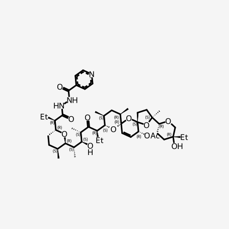 CC[C@@H](C(=O)[C@@H](C)[C@@H](O)[C@H](C)[C@@H]1O[C@@H]([C@@H](CC)C(=O)NNC(=O)c2ccncc2)CC[C@@H]1C)[C@H]1O[C@]2(C=C[C@@H](OC(C)=O)[C@]3(CC[C@@](C)([C@H]4CC[C@](O)(CC)CO4)O3)O2)[C@H](C)C[C@@H]1C